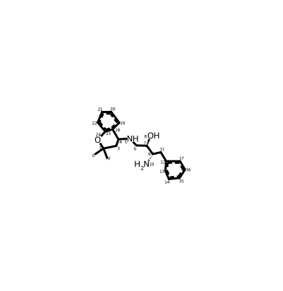 CC1(C)CC(NC[C@@H](O)[C@@H](N)Cc2ccccc2)c2ccccc2O1